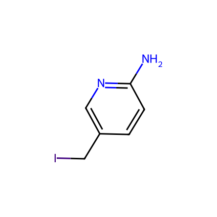 Nc1ccc(CI)cn1